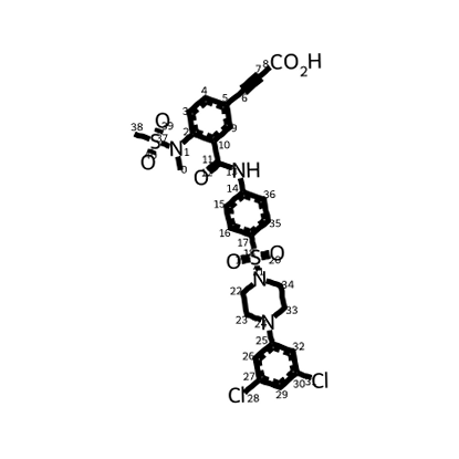 CN(c1ccc(C#CC(=O)O)cc1C(=O)Nc1ccc(S(=O)(=O)N2CCN(c3cc(Cl)cc(Cl)c3)CC2)cc1)S(C)(=O)=O